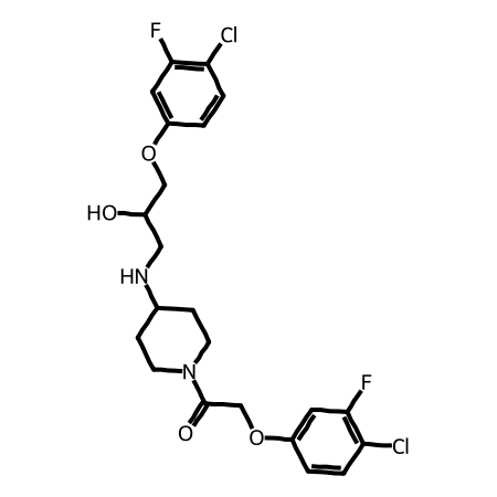 O=C(COc1ccc(Cl)c(F)c1)N1CCC(NCC(O)COc2ccc(Cl)c(F)c2)CC1